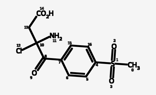 CS(=O)(=O)c1ccc(C(=O)C(N)(Cl)CC(=O)O)cc1